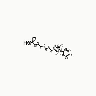 Cc1nc(CCCCCCCC(=O)O)cn1-c1ccccc1